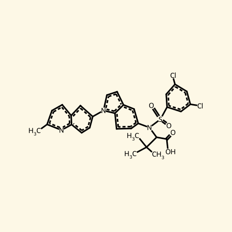 Cc1ccc2cc(-n3ccc4cc(N(C(C(=O)O)C(C)(C)C)S(=O)(=O)c5cc(Cl)cc(Cl)c5)ccc43)ccc2n1